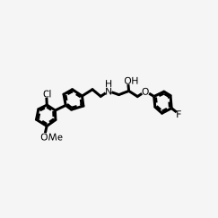 COc1ccc(Cl)c(-c2ccc(CCNCC(O)COc3ccc(F)cc3)cc2)c1